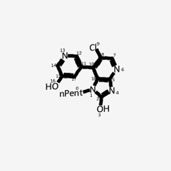 CCCCCn1c(O)nc2ncc(Cl)c(-c3cncc(O)c3)c21